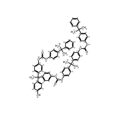 CC(C)(c1ccccc1)c1ccc(OC(=O)Oc2ccc(C(C)(C)c3ccc(OC(=O)Oc4ccc(C(C)(c5ccc(C#N)cc5)c5ccc(OC(=O)Oc6ccc(C(C)(C)c7ccccc7)cc6)cc5)cc4)cc3)cc2)cc1